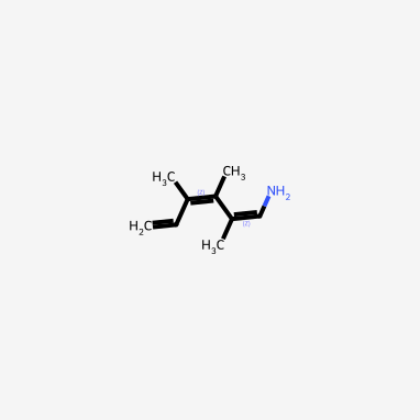 C=C/C(C)=C(C)\C(C)=C/N